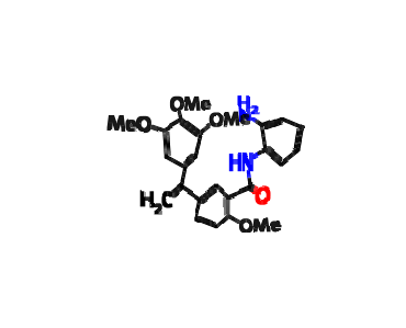 C=C(c1cc(OC)c(OC)c(OC)c1)c1ccc(OC)c(C(=O)Nc2ccccc2N)c1